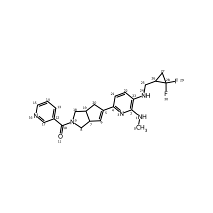 CNc1nc(C2=CC3CN(C(=O)c4cccnc4)CC3C2)ccc1NCC1CC1(F)F